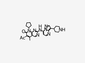 CC(=O)c1c(C)c2cnc(Nc3ccnc4c(C5CCNCC5)cnn34)nc2n(C2CCCC2)c1=O